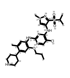 CCCOc1cc(C2CCNCC2)c(C)cc1Nc1ncc(Cl)c(Nc2cn(C)nc2S(=O)(=O)C(C)C)n1